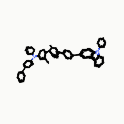 Cc1cc(-c2ccc(-c3ccc4c(c3)c3ccccc3n4-c3ccccc3)cc2)ccc1-c1ccc(N(c2ccccc2)c2ccc(-c3ccccc3)cc2)cc1C